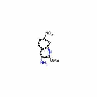 COc1nc2cc([N+](=O)[O-])ccc2cc1N